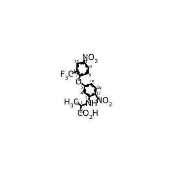 CC(Nc1cc(Oc2ccc([N+](=O)[O-])cc2C(F)(F)F)ccc1[N+](=O)[O-])C(=O)O